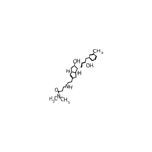 Cc1cccc(C[C@H](O)/C=C/[C@@H]2[C@H]3CC(CCNCCC(=O)N(C)C)=C[C@H]3C[C@H]2O)c1